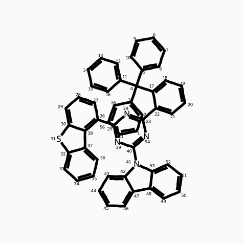 c1ccc(C(c2ccccc2)(c2ccccc2)c2ccccc2-c2nc(-c3cccc4sc5ccccc5c34)nc(-n3c4ccccc4c4ccccc43)n2)cc1